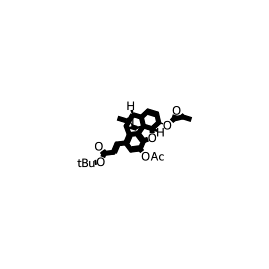 CC(=O)Oc1cc(/C=C/C(=O)OC(C)(C)C)c2c3c1O[C@H]1[C@@H](OC4OC4C)C=CC4[C@@H](C2)N(C)CC[C@@]341